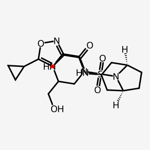 O=C(N[C@H]1C[C@H]2CC[C@@H](C1)N2S(=O)(=O)N1CCNC(CO)C1)c1cc(C2CC2)on1